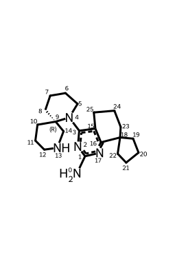 Nc1nc(N2CCCC[C@]23CCCNC3)c2c(n1)C1(CCCC1)CCC2